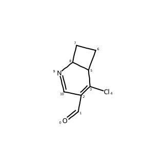 O=CC1=C(Cl)C2CCC2N=C1